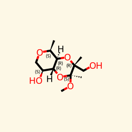 CO[C@@]1(C)O[C@H]2[C@H](O[C@]1(C)CO)[C@H](C)OC[C@@H]2O